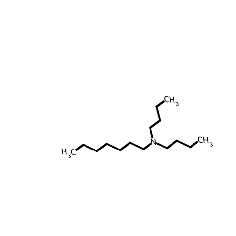 CCCCCCCN(CCCC)CCCC